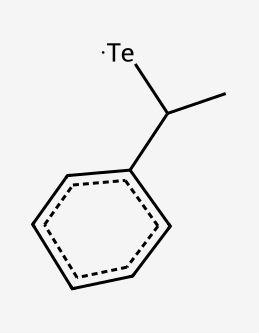 CC([Te])c1ccccc1